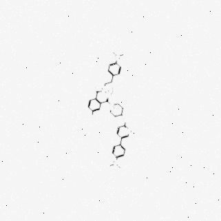 CN(C)c1ccc(CCNC(=O)c2ccc(F)cc2C(=O)N2CCC(Oc3ccc(-c4ccc(N(C)C)cc4)cn3)CC2)cc1